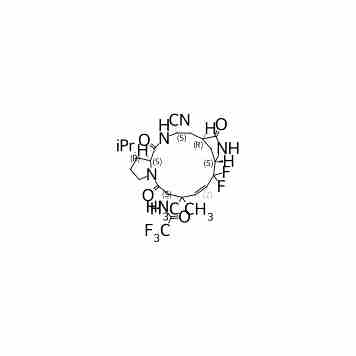 CC(C)[C@H]1CCN2C(=O)[C@@H](NC(=O)C(F)(F)F)C(C)(C)/C=C\C(F)(F)[C@@H]3C[C@@H](C[C@@H](C#N)NC(=O)[C@H]12)C(=O)N3